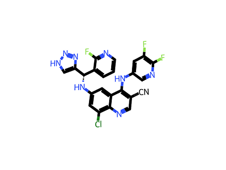 N#Cc1cnc2c(Cl)cc(N[C@H](c3c[nH]nn3)c3cccnc3F)cc2c1Nc1cnc(F)c(F)c1